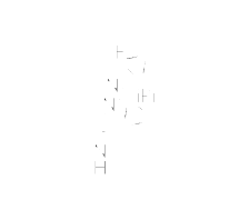 CC(C)c1ccccc1C1CN(Cc2ccccc2F)CCN1C1CC2(CCNCC2)C1